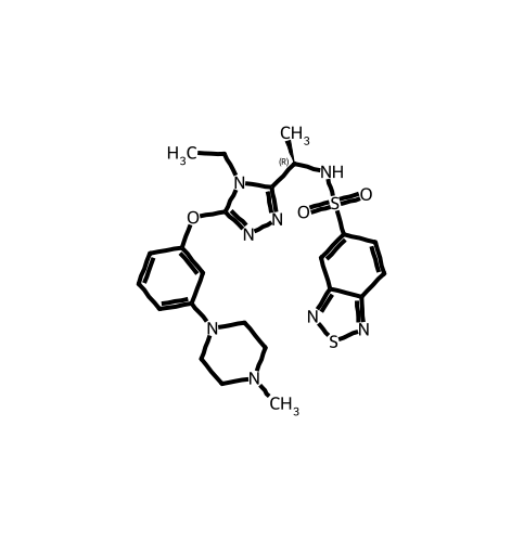 CCn1c(Oc2cccc(N3CCN(C)CC3)c2)nnc1[C@@H](C)NS(=O)(=O)c1ccc2nsnc2c1